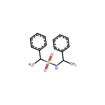 CC(NS(=O)(=O)C(C)c1ccccc1)c1ccccc1